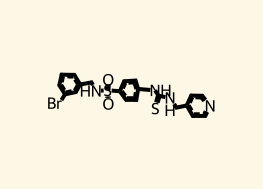 O=S(=O)(NCc1cccc(Br)c1)c1ccc(NC(=S)NCc2ccncc2)cc1